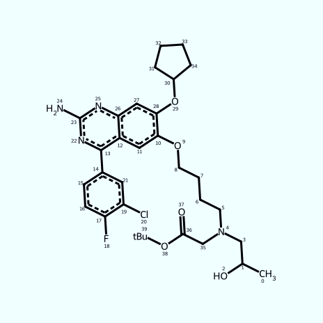 CC(O)CN(CCCCOc1cc2c(-c3ccc(F)c(Cl)c3)nc(N)nc2cc1OC1CCCC1)CC(=O)OC(C)(C)C